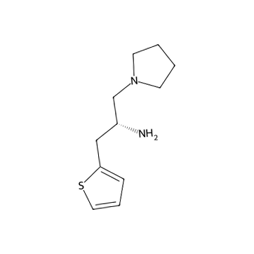 N[C@H](Cc1cccs1)CN1CCCC1